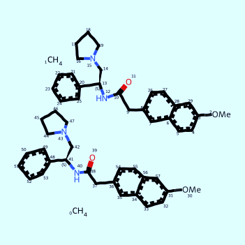 C.C.COc1ccc2cc(CC(=O)N[C@H](CN3CCCC3)c3ccccc3)ccc2c1.COc1ccc2cc(CC(=O)N[C@H](CN3CCCC3)c3ccccc3)ccc2c1